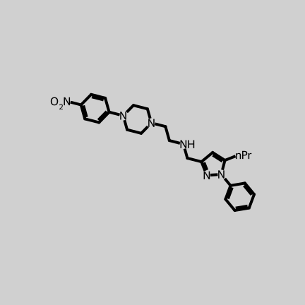 CCCc1cc(CNCCN2CCN(c3ccc([N+](=O)[O-])cc3)CC2)nn1-c1ccccc1